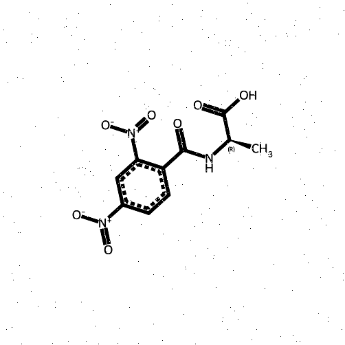 C[C@@H](NC(=O)c1ccc([N+](=O)[O-])cc1[N+](=O)[O-])C(=O)O